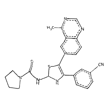 Cc1ncnc2ccc(C3=C(c4cccc(C#N)c4)NC(NC(=O)N4CCCC4)S3)cc12